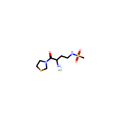 CS(=O)(=O)NCCC(N)C(=O)N1CCSC1.Cl